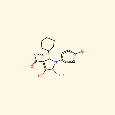 CCCCCC(=O)C1=C(O)C(C=O)N(c2ccc(Br)cc2)C1C1CCCCC1